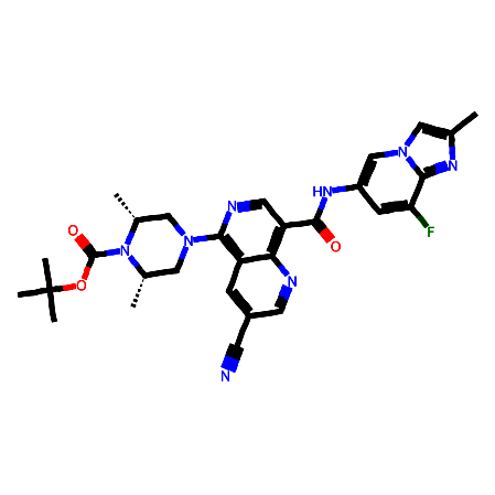 Cc1cn2cc(NC(=O)c3cnc(N4C[C@@H](C)N(C(=O)OC(C)(C)C)[C@@H](C)C4)c4cc(C#N)cnc34)cc(F)c2n1